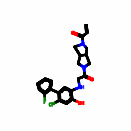 C=CC(=O)N1CC2CN(C(=O)CNc3cc(-c4ccccc4F)c(Cl)cc3O)CC2C1